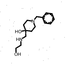 OCCNCC1(O)CCN(Cc2ccccc2)CC1